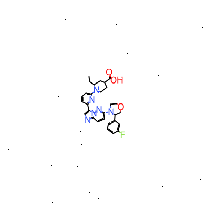 CCC1CC(C(=O)O)CCN1c1cccc(-c2cnc3ccc(N4CCOCC4c4cccc(F)c4)nn23)n1